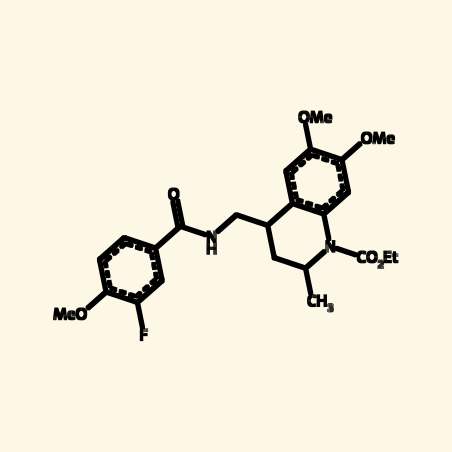 CCOC(=O)N1c2cc(OC)c(OC)cc2C(CNC(=O)c2ccc(OC)c(F)c2)CC1C